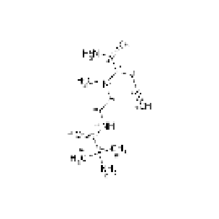 C#CCC(C(N)=O)N(C)CCNC(=O)C(C)(C)N